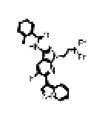 CCN(CC)CCn1nc(NC(=O)C2=CCCC=C2C)c2cc(F)c(-c3cnn4ccccc34)nc21